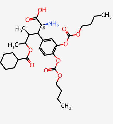 CCCCOC(=O)Oc1ccc(C(C(C)C(C)OC(=O)C2CCCCC2)[C@H](N)C(=O)O)cc1OC(=O)OCCCC